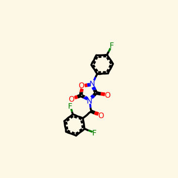 O=C(c1c(F)cccc1F)n1c(=O)on(-c2ccc(F)cc2)c1=O